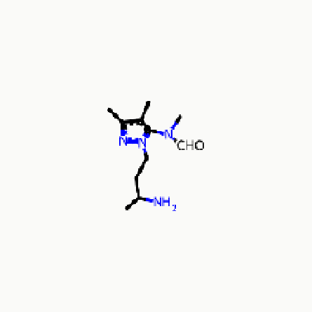 Cc1nn(CCC(C)N)c(N(C)C=O)c1C